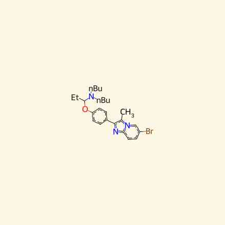 CCCCN(CCCC)C(CC)Oc1ccc(-c2nc3ccc(Br)cn3c2C)cc1